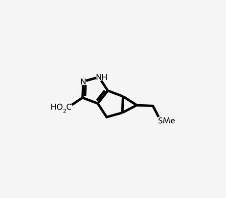 CSCC1C2Cc3c(C(=O)O)n[nH]c3C12